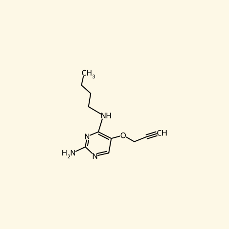 C#CCOc1cnc(N)nc1NCCCC